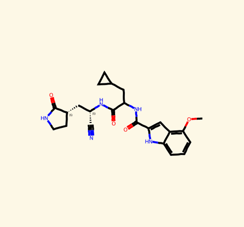 COc1cccc2[nH]c(C(=O)NC(CC3CC3)C(=O)N[C@H](C#N)C[C@@H]3CCNC3=O)cc12